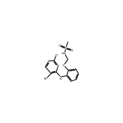 CS(=O)(=O)NCOc1ccccc1Nc1nc(Cl)ncc1Br